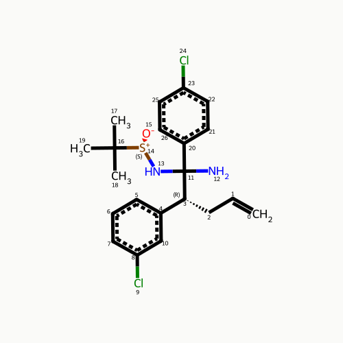 C=CC[C@H](c1cccc(Cl)c1)C(N)(N[S@+]([O-])C(C)(C)C)c1ccc(Cl)cc1